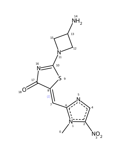 Cn1c([N+](=O)[O-])cnc1/C=C1\SC(N2CC(N)C2)=NC1=O